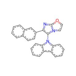 c1ccc2cc(-c3nc4occn4c3-n3c4ccccc4c4ccccc43)ccc2c1